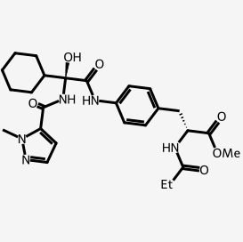 CCC(=O)N[C@H](Cc1ccc(NC(=O)[C@](O)(NC(=O)c2ccnn2C)C2CCCCC2)cc1)C(=O)OC